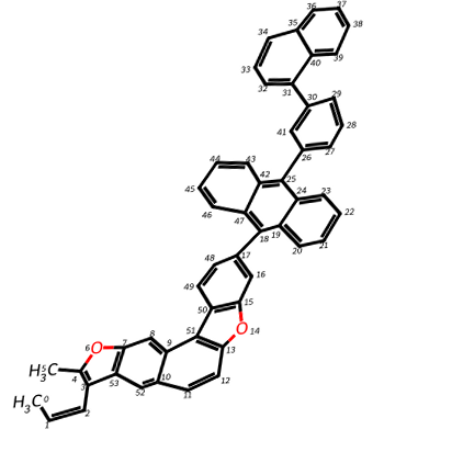 C/C=C\c1c(C)oc2cc3c(ccc4oc5cc(-c6c7ccccc7c(-c7cccc(-c8cccc9ccccc89)c7)c7ccccc67)ccc5c43)cc12